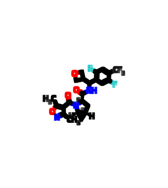 Cc1noc(C)c1C(=O)N1[C@@H](C(=O)NC(c2cc(F)c(C(F)(F)F)cc2F)C2COC2)C[C@H]2C[C@H]21